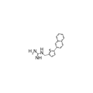 N=C(N)NCc1ccc(-c2ccc3ccccc3c2)s1